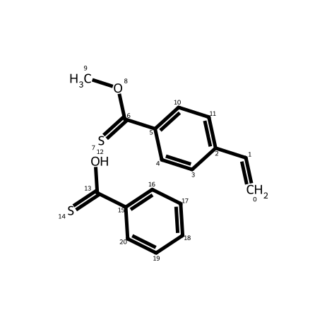 C=Cc1ccc(C(=S)OC)cc1.OC(=S)c1ccccc1